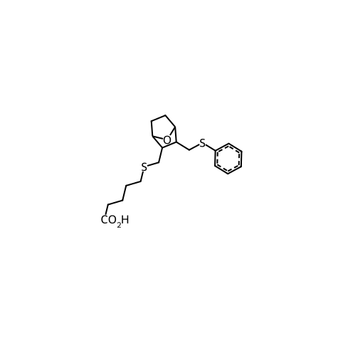 O=C(O)CCCCSCC1C2CCC(O2)C1CSc1ccccc1